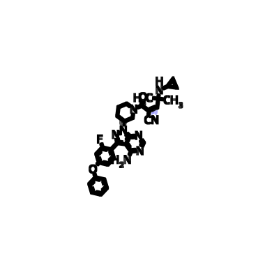 CC(C)(/C=C(/C#N)C(=O)N1CCC[C@H](n2nc(-c3ccc(Oc4ccccc4)cc3F)c3c(N)ncnc32)C1)NC1CC1